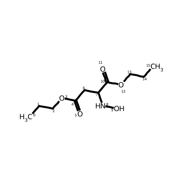 CCCOC(=O)CC(NO)C(=O)OCCC